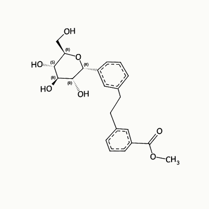 COC(=O)c1cccc(CCc2cccc([C@H]3O[C@H](CO)[C@@H](O)[C@H](O)[C@H]3O)c2)c1